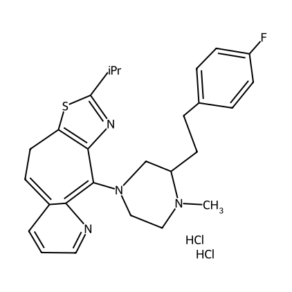 CC(C)c1nc2c(s1)CC=c1cccnc1=C2N1CCN(C)C(CCc2ccc(F)cc2)C1.Cl.Cl